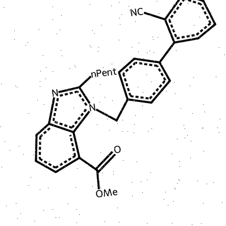 CCCCCc1nc2cccc(C(=O)OC)c2n1Cc1ccc(-c2ccccc2C#N)cc1